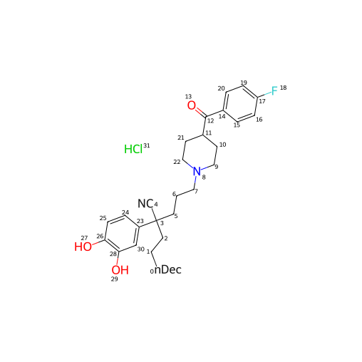 CCCCCCCCCCCCC(C#N)(CCCN1CCC(C(=O)c2ccc(F)cc2)CC1)c1ccc(O)c(O)c1.Cl